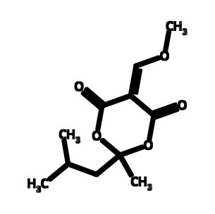 COC=C1C(=O)OC(C)(CC(C)C)OC1=O